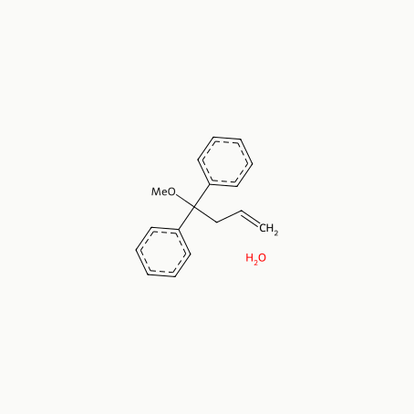 C=CCC(OC)(c1ccccc1)c1ccccc1.O